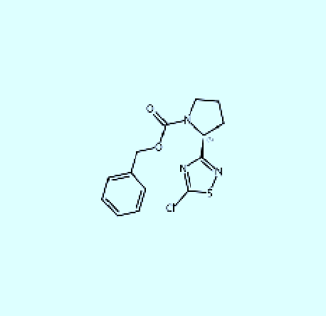 O=C(OCc1ccccc1)N1CCC[C@H]1c1nsc(Cl)n1